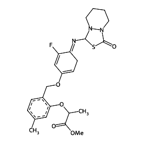 COC(=O)C(C)Oc1cc(C)ccc1COC1=CCC(=NC2SC(=O)N3CCCCN23)C(F)=C1